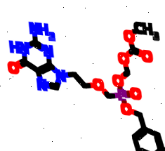 COC(=O)OCOP(=O)(COCCn1cnc2c(=O)[nH]c(N)nc21)OCc1cccc(F)c1